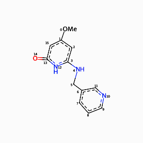 COc1cc(NCc2cccnc2)[nH]c(=O)c1